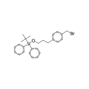 CC(C)(C)[Si](OCCCc1ccc(CBr)cc1)(c1ccccc1)c1ccccc1